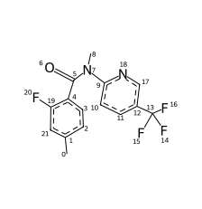 Cc1ccc(C(=O)N(C)c2ccc(C(F)(F)F)cn2)c(F)c1